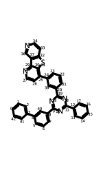 c1ccc(-c2cccc(-c3nc(-c4ccccc4)nc(-c4cccc(-c5ccnc6c5sc5ccncc56)c4)n3)c2)cc1